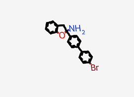 NC1(c2ccc(-c3ccc(Br)cc3)cc2)Cc2ccccc2O1